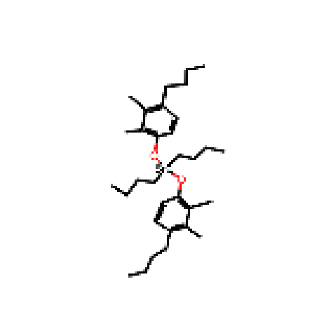 CCCCc1ccc([O][Sn]([CH2]CCC)([CH2]CCC)[O]c2ccc(CCCC)c(C)c2C)c(C)c1C